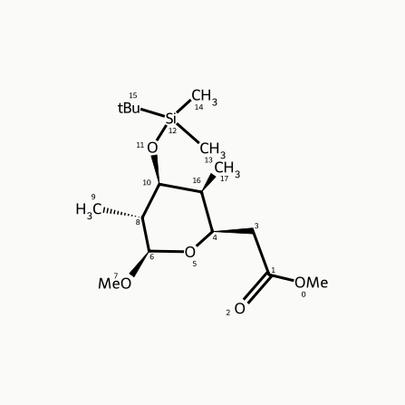 COC(=O)C[C@H]1O[C@@H](OC)[C@H](C)[C@@H](O[Si](C)(C)C(C)(C)C)[C@H]1C